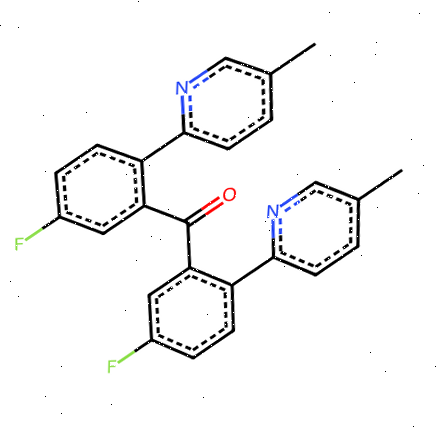 Cc1ccc(-c2ccc(F)cc2C(=O)c2cc(F)ccc2-c2ccc(C)cn2)nc1